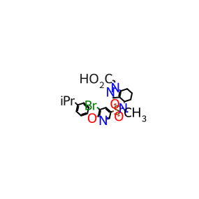 CC(C)c1ccc(Oc2ncc(S(=O)(=O)N(C)C3CCCc4c3cnn4CC(=O)O)cc2Br)cc1